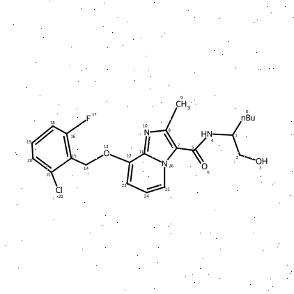 CCCCC(CO)NC(=O)c1c(C)nc2c(OCc3c(F)cccc3Cl)cccn12